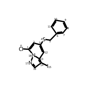 Clc1cc(SCc2ccccc2)cc2c(I)cnn12